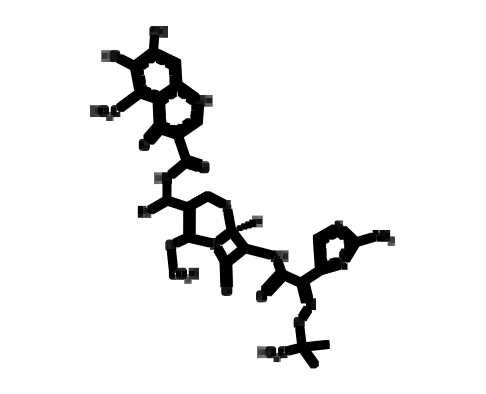 CCC(NC(=O)c1c[nH]c2cc(O)c(O)c(C(=O)O)c2c1=O)C1=C(OC(=O)O)N2C(=O)C(NC(=O)/C(=N\OC(C)(C)C(=O)O)c3csc(N)n3)[C@@H]2SC1